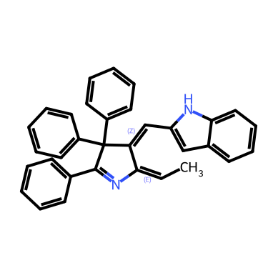 C/C=C1/N=C(c2ccccc2)C(c2ccccc2)(c2ccccc2)/C1=C/c1cc2ccccc2[nH]1